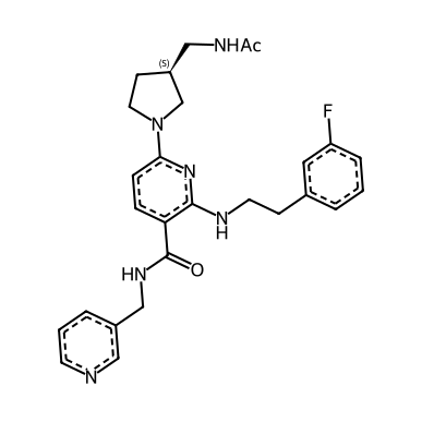 CC(=O)NC[C@@H]1CCN(c2ccc(C(=O)NCc3cccnc3)c(NCCc3cccc(F)c3)n2)C1